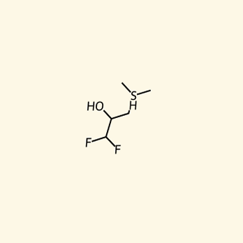 C[SH](C)CC(O)C(F)F